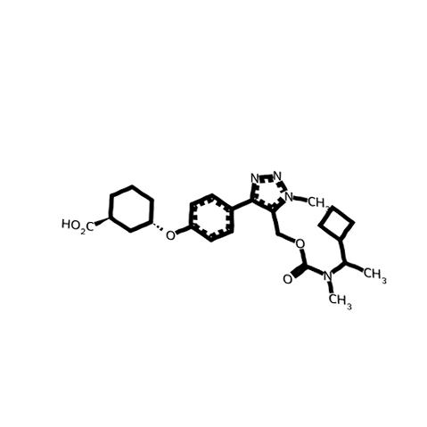 CC(C1CCC1)N(C)C(=O)OCc1c(-c2ccc(O[C@H]3CCC[C@H](C(=O)O)C3)cc2)nnn1C